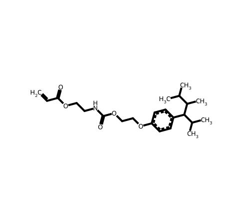 C=CC(=O)OCCNC(=O)OCCOc1ccc(C(C(C)C)C(C)C(C)C)cc1